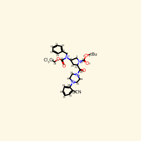 CC(C)(C)OC(=O)N1CC(N(Cc2ccccc2)C(=O)OCC(Cl)(Cl)Cl)CC1C(=O)N1CCN(c2ccccc2C#N)CC1